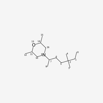 CCC(C)(C)CCC(C)N1CC(C)OC(C)C1